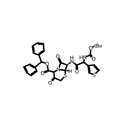 CC(C)(C)OC(=O)NC(C(=O)N[C@@H]1C(=O)N2C(C(=O)OC(c3ccccc3)c3ccccc3)C(=O)CS[C@@H]12)c1ccsc1